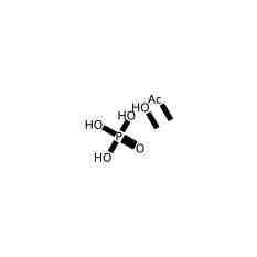 CC(C)=O.CO.O=P(O)(O)O